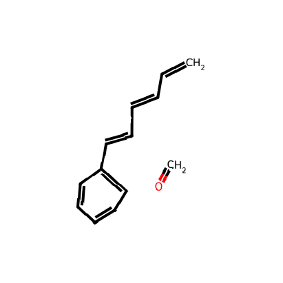 C=CC=CC=Cc1ccccc1.C=O